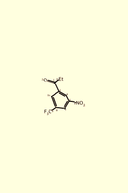 CCC(=O)c1cc([N+](=O)[O-])cc(C(F)(F)F)c1